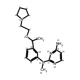 CC(OCCN1CCCC1)c1cccc(N(C)c2nccc(N)n2)c1